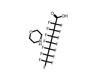 C1COCCN1.O=C(O)C(F)(F)C(F)(F)C(F)(F)C(F)(F)C(F)(F)C(F)(F)C(F)(F)F